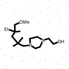 CCC(C)(COC)CC(C)(C)CN1CCN(CCO)CC1